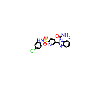 NC(=O)n1c(-c2ccc(S(=O)(=O)Nc3ccc(Cl)cc3)nc2)nc2ccccc21